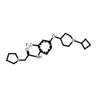 O=C(CN1CCCC1)Nc1ccc(OC2CCN(C3CCC3)CC2)cc1C(F)(F)F